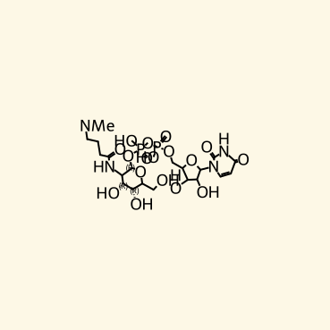 CNCCCC(=O)NC1[C@@H](OP(=O)(O)OP(=O)(O)OCC2OC(n3ccc(=O)[nH]c3=O)C(O)C2O)OC(CO)[C@H](O)[C@@H]1O